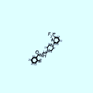 O=C(NCCN1CCN(c2cccc(C(F)(F)F)n2)CC1)c1ccccc1F